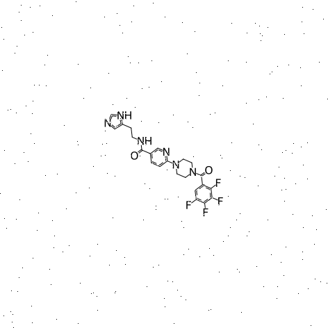 O=C(NCCc1cnc[nH]1)c1ccc(N2CCN(C(=O)c3cc(F)c(F)c(F)c3F)CC2)nc1